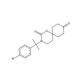 CC(C)(c1ccc(Br)cc1)N1CCC2(CCC(=O)CC2)OC1=O